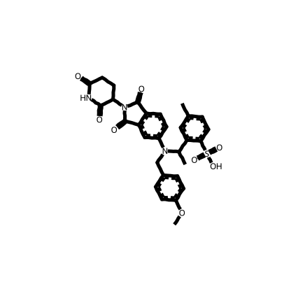 COc1ccc(CN(c2ccc3c(c2)C(=O)N(C2CCC(=O)NC2=O)C3=O)C(C)c2cc(C)ccc2S(=O)(=O)O)cc1